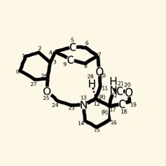 C1CCC2C3CCC(CC3)OC[C@@H]3N(CCC[C@@]34CCOCN4)CCOC2C1